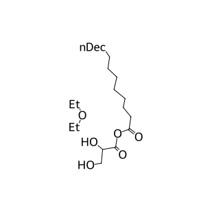 CCCCCCCCCCCCCCCCCC(=O)OC(=O)C(O)CO.CCOCC